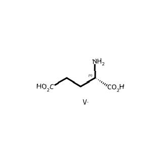 N[C@@H](CCC(=O)O)C(=O)O.[V]